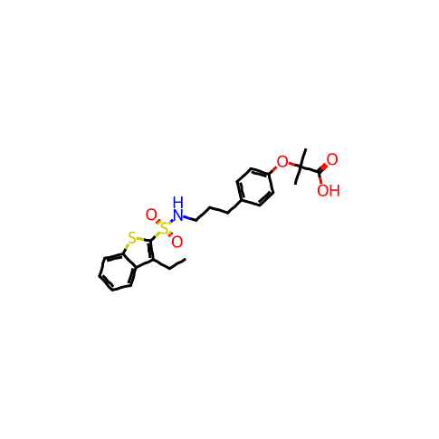 CCc1c(S(=O)(=O)NCCCc2ccc(OC(C)(C)C(=O)O)cc2)sc2ccccc12